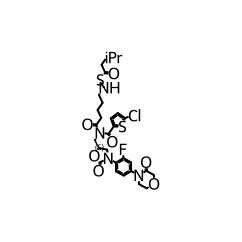 CC(C)CC(=O)SNCCCCC(=O)N(C[C@H]1CN(c2ccc(N3CCOCC3=O)cc2F)C(=O)O1)C(=O)c1ccc(Cl)s1